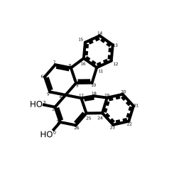 OC1=C(O)C2(C=CC=C3C2=Cc2ccccc23)C2=Cc3ccccc3C2=C1